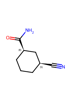 N#C[C@H]1CCC[C@@H](C(N)=O)C1